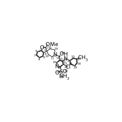 COC(=O)C1(c2ccccc2)CCN(C(=O)c2cnc(S(N)(=O)=O)c(Cl)c2Nc2cccc(C)c2)CC1